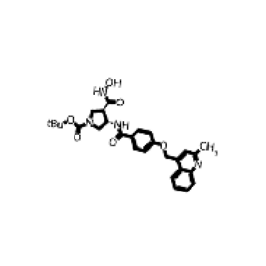 Cc1cc(COc2ccc(C(=O)N[C@@H]3CN(C(=O)OC(C)(C)C)C[C@H]3C(=O)NO)cc2)c2ccccc2n1